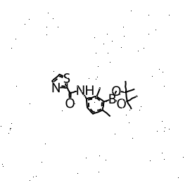 Cc1ccc(NC(=O)c2nccs2)c(C)c1B1OC(C)(C)C(C)(C)O1